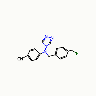 [C-]#[N+]c1ccc(N(Cc2ccc(CF)cc2)n2cnnc2)cc1